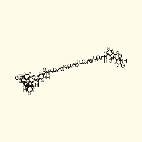 O=C1CCC(N2C(=O)c3cccc(NCCOCCOCCOCCOCCOCCOCCOCCNC(=O)c4ccc(NC(=O)[C@@H]5NC6(CCCCC6)[C@@]6(C(=O)Nc7cc(Cl)ccc76)[C@H]5c5cccc(Cl)c5F)cc4)c3C2=O)C(=O)N1